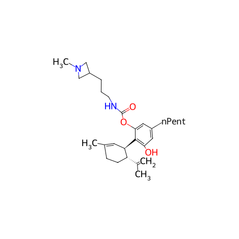 C=C(C)[C@@H]1CCC(C)=C[C@H]1c1c(O)cc(CCCCC)cc1OC(=O)NCCCC1CN(C)C1